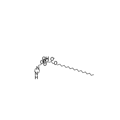 CCCCCCCCCCCCCCCCCCOCC(COP(=O)(O)OCCN1CCNCC1)OC